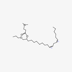 CCCCC/C=C\C/C=C\CCCCCCCCC(COCCC)OC(=O)CCN(C)C